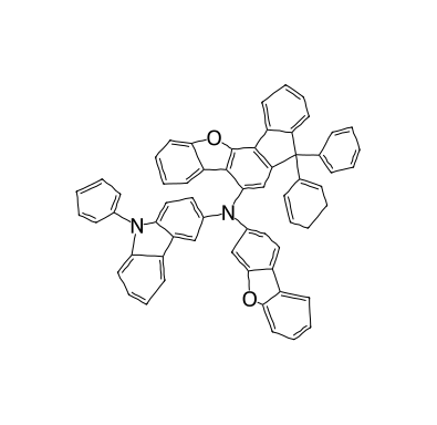 C1=CC(C2(c3ccccc3)c3ccccc3-c3c2cc(N(c2ccc4c(c2)oc2ccccc24)c2ccc4c(c2)c2ccccc2n4-c2ccccc2)c2c3oc3ccccc32)=CCC1